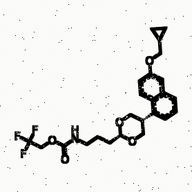 O=C(NCCC[C@H]1OC[C@H](c2cccc3cc(OCC4CC4)ccc32)CO1)OCC(F)(F)F